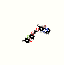 Cc1ccc(Oc2ccc(OCCCOc3cc4c(cc3C)C(=O)N3CCC[C@H]3C=N4)cc2F)cc1